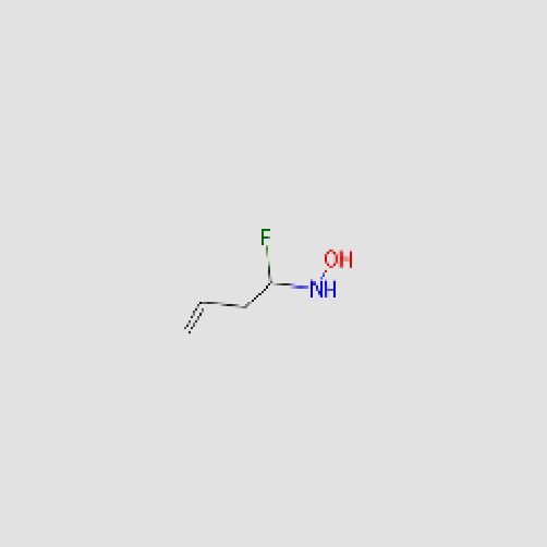 C=CCC(F)NO